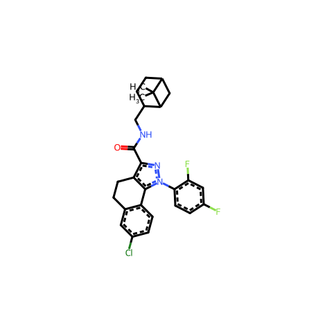 CC1(C)C2CCC(CNC(=O)c3nn(-c4ccc(F)cc4F)c4c3CCc3cc(Cl)ccc3-4)C1C2